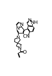 C=CC(=O)N1CC2(CCN(c3cn4ccnc4c(-c4c(C)ccc5[nH]ncc45)c3C#N)C2)C1